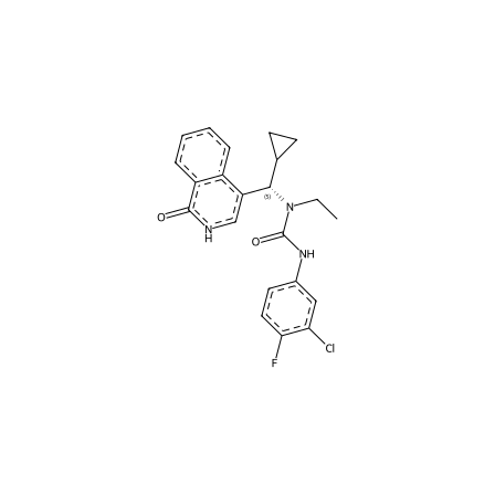 CCN(C(=O)Nc1ccc(F)c(Cl)c1)[C@H](c1c[nH]c(=O)c2ccccc12)C1CC1